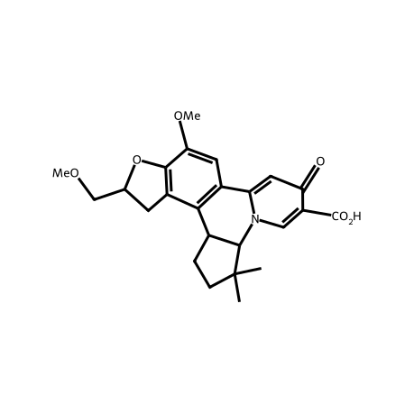 COCC1Cc2c(c(OC)cc3c2C2CCC(C)(C)C2n2cc(C(=O)O)c(=O)cc2-3)O1